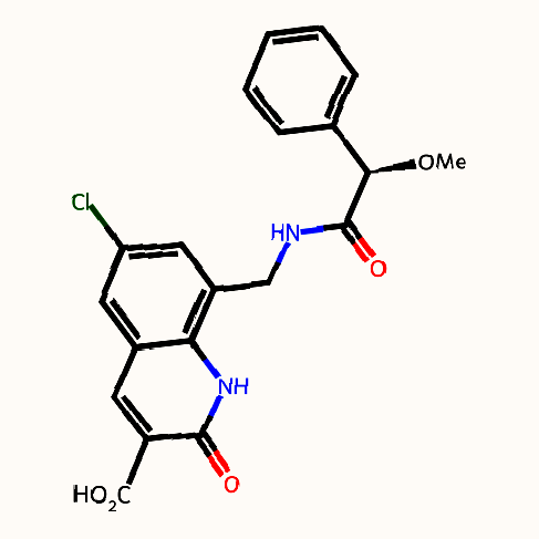 CO[C@@H](C(=O)NCc1cc(Cl)cc2cc(C(=O)O)c(=O)[nH]c12)c1ccccc1